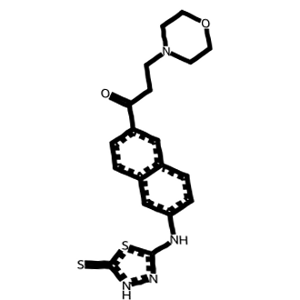 O=C(CCN1CCOCC1)c1ccc2cc(Nc3n[nH]c(=S)s3)ccc2c1